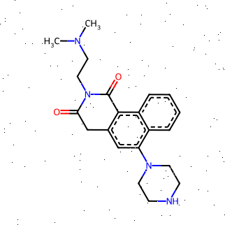 CN(C)CCN1C(=O)Cc2cc(N3CCNCC3)c3ccccc3c2C1=O